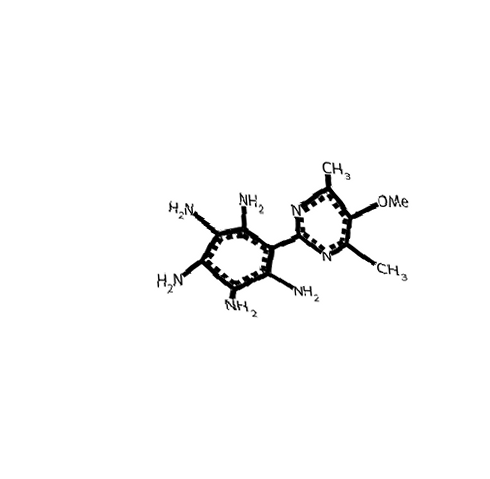 COc1c(C)nc(-c2c(N)c(N)c(N)c(N)c2N)nc1C